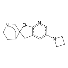 c1nc2c(cc1N1CCC1)CC1(CN3CCC1CC3)O2